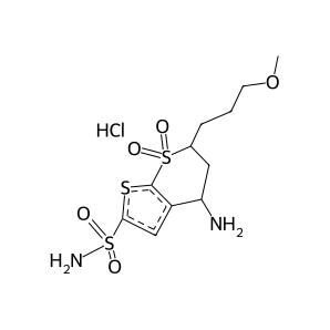 COCCCC1CC(N)c2cc(S(N)(=O)=O)sc2S1(=O)=O.Cl